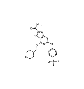 CS(=O)(=O)c1ccc(Oc2cc(OCC3CCOCC3)c3[nH]c(C(N)=O)cc3c2)cc1